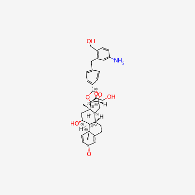 C[C@]12C=CC(=O)C=C1CC[C@@H]1[C@@H]2[C@@H](O)C[C@@]2(C)[C@H]1C[C@H]1O[C@@H](c3ccc(Cc4cc(N)ccc4CO)cc3)O[C@]12C(=O)CO